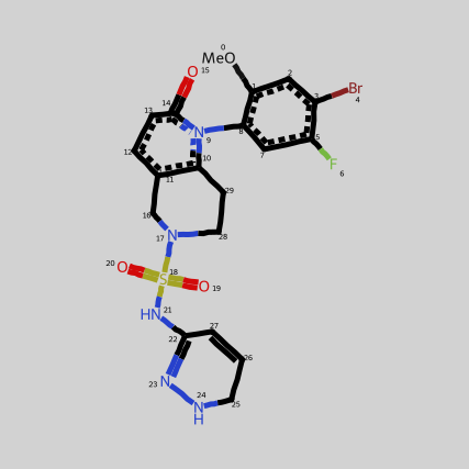 COc1cc(Br)c(F)cc1-n1c2c(ccc1=O)CN(S(=O)(=O)NC1=NNCC=C1)CC2